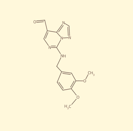 COc1ccc(CNc2ncc(C=O)c3ncnn23)cc1OC